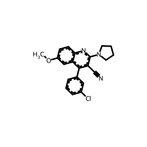 COc1ccc2nc(N3CCCC3)c(C#N)c(-c3cccc(Cl)c3)c2c1